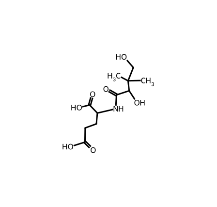 CC(C)(CO)C(O)C(=O)NC(CCC(=O)O)C(=O)O